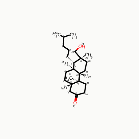 CC(C)CCC[C@H]1[C@@H]2CC[C@H]3CC(=O)CC[C@]3(C)[C@H]2CC[C@]1(C)CO